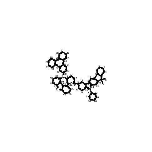 CC1(C)c2ccccc2-c2cc3c4cc(-c5ccc(N(c6ccc7c8ccccc8c8ccccc8c7c6)c6cccc7oc8ccccc8c67)cc5)ccc4n(-c4ccccc4)c3cc21